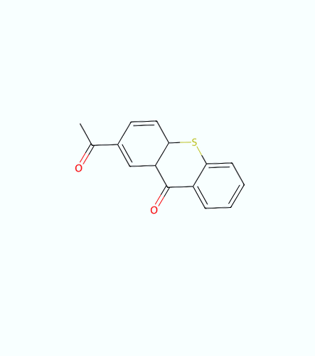 CC(=O)C1=CC2C(=O)c3ccccc3SC2C=C1